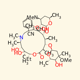 CC[C@H]1OC(=O)[C@H](C)[C@@H](O[C@H]2C[C@@](C)(OC)[C@@H](O)[C@H](C)O2)[C@H](C)[C@@H](O[C@@H]2O[C@H](C)C[C@H](NC)[C@H]2Oc2ccccc2C#N)[C@](C)(O)C[C@@H](C)CN(C)[C@H](C)[C@@H](O)[C@]1(C)O